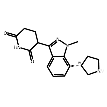 Cn1nc(C2CCC(=O)NC2=O)c2cccc([C@@H]3CCNC3)c21